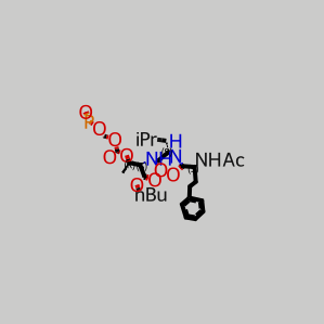 CCCCOC(=O)[C@@H](NC(=O)[C@H](CC(C)C)NC(=O)[C@H](CCc1ccccc1)NC(C)=O)[C@@H](C)OC(=O)OCOP=O